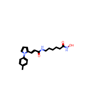 Cc1ccc(-n2cccc2/C=C/C(=O)NCCCCCC(=O)NO)cc1